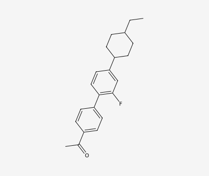 CCC1CCC(c2ccc(-c3ccc(C(C)=O)cc3)c(F)c2)CC1